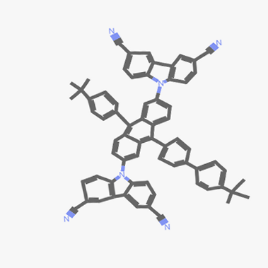 CC(C)(C)c1ccc(-c2ccc(-c3c4ccc(-n5c6ccc(C#N)cc6c6cc(C#N)ccc65)cc4c(-c4ccc(C(C)(C)C)cc4)c4ccc(-n5c6ccc(C#N)cc6c6cc(C#N)ccc65)cc34)cc2)cc1